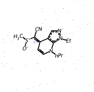 CCCN1C=C/C(=C(/C#N)[S+](C)[O-])c2cnn(CC)c21